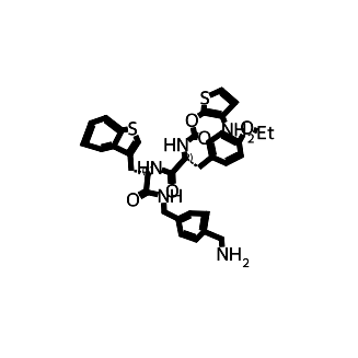 CCOc1ccc(C[C@@H](NC(=O)Oc2sccc2N)C(=O)N[C@@H](Cc2csc3ccccc23)C(=O)NCc2ccc(CN)cc2)cc1